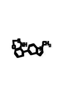 Cn1ccc2cc(-c3cccc4c3NSCO4)ccc21